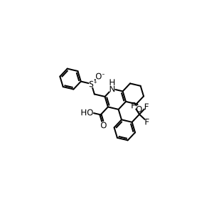 O=C(O)C1=C(C[S+]([O-])c2ccccc2)NC2=C(C(=O)CCC2)C1c1ccccc1C(F)(F)F